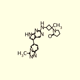 Cc1nnc2ccc(-c3c[nH]c4nc(NC5CC(C)(N6CCCC6=O)C5)ncc34)cn12